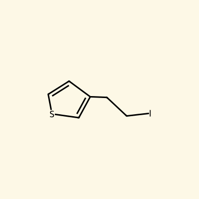 ICCc1ccsc1